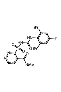 CNC(=O)c1ccnnc1S(=O)(=O)NC(=O)Nc1c(C(C)C)cc(F)cc1C(C)C